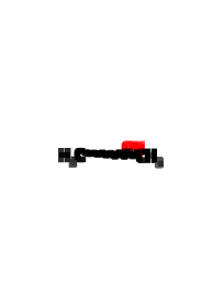 CCCCCCCCCCC[C@@H](O)CC(C)=O